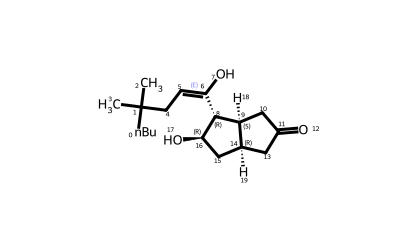 CCCCC(C)(C)C/C=C(/O)[C@@H]1[C@H]2CC(=O)C[C@H]2C[C@H]1O